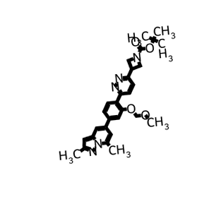 COCOc1cc(-c2cc(C)n3nc(C)cc3c2)ccc1-c1ccc(C2CN(C(=O)OC(C)(C)C)C2)nn1